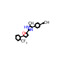 C#Cc1ccc(-c2nc(-c3ccc(-c4ccccc4C(F)(F)F)o3)[nH]c2C)cc1